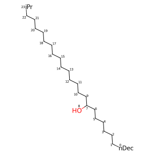 CCCCCCCCCCCCCCCCC(O)CCCCCCCCCCCCCCC(C)C